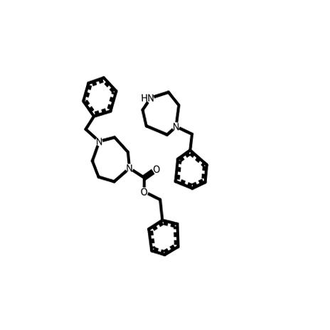 O=C(OCc1ccccc1)N1CCCN(Cc2ccccc2)CC1.c1ccc(CN2CCCNCC2)cc1